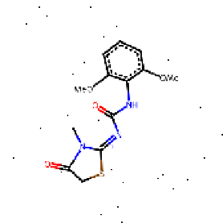 COc1cccc(OC)c1NC(=O)/N=C1/SCC(=O)N1C